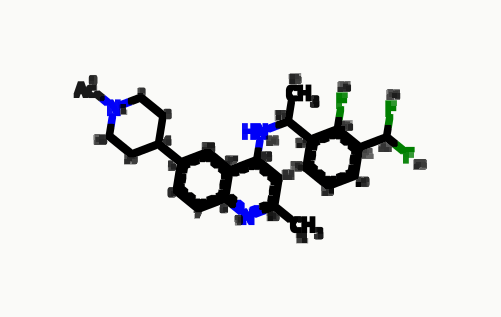 CC(=O)N1CCC(c2ccc3nc(C)cc(NC(C)c4cccc(C(F)F)c4F)c3c2)CC1